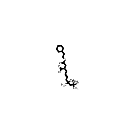 CC(C)(C)CC(C)(C)C/C=C/CC(CC(=O)OCCC1CCCCC1)C(=O)O